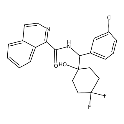 O=C(NC(c1cccc(Cl)c1)C1(O)CCC(F)(F)CC1)c1nccc2ccccc12